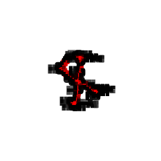 CC(=O)NC1C(OCCCCCCNC(=O)CCOCC2CC(C(=O)CCCC(=O)NCCCCCCOP(=O)(S)OCCCCCCCO)CC(COCCC(=O)NCCCCCCOC3OC(CO)C(O)C(O)C3NC(C)=O)C2OCCC(=O)NCCCCCCOC2OC(CO)C(O)C(O)C2NC(C)=O)OC(CO)C(O)C1O